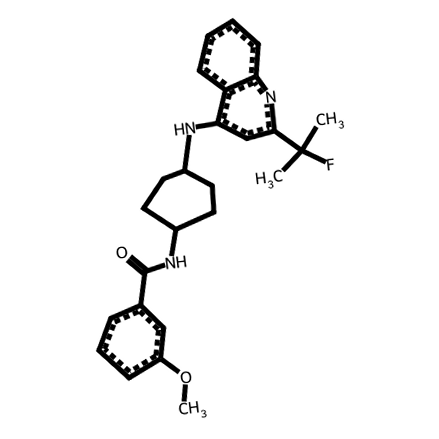 COc1cccc(C(=O)NC2CCC(Nc3cc(C(C)(C)F)nc4ccccc34)CC2)c1